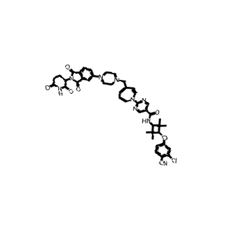 CC1(C)C(NC(=O)c2cnc(N3C=CC=C(CN4CCN(c5ccc6c(c5)C(=O)N(C5CCC(=O)NC5=O)C6=O)CC4)C=C3)nc2)C(C)(C)C1Oc1ccc(C#N)c(Cl)c1